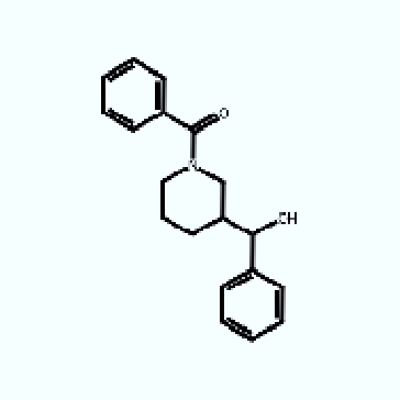 O=C(c1ccccc1)N1CCCC(C(O)c2ccccc2)C1